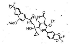 CCOc1c(-c2ccc3c(c2)OC(F)(F)O3)nc([C@@](O)(CNC(=O)c2cc(OC)c3nn(C4(F)CC4)cc3c2)C2CC2)c(F)c1CC(N)=O